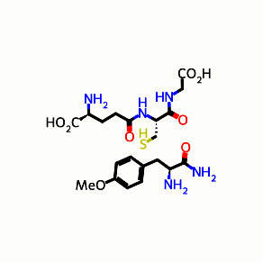 COc1ccc(C[C@H](N)C(N)=O)cc1.N[C@@H](CCC(=O)N[C@@H](CS)C(=O)NCC(=O)O)C(=O)O